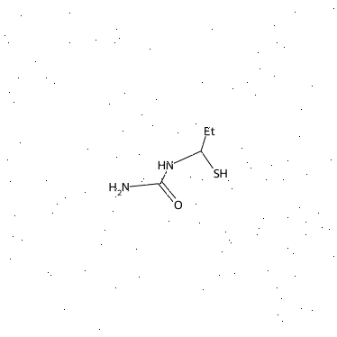 CCC(S)NC(N)=O